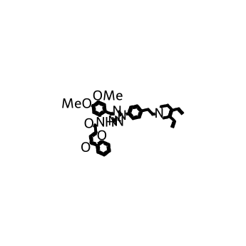 C=CC1=C(C=C)CN(CCc2ccc(-n3nnc(-c4cc(OC)c(OC)cc4NC(=O)c4cc(=O)c5ccccc5o4)n3)cc2)CC1